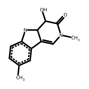 Cc1ccc2c(c1)C1=CN(C)C(=O)C(O)C1[N]2